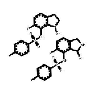 CC(=O)C1NCc2ccc(F)c(NS(=O)(=O)c3ccc(C)cc3)c21.CC(=O)N1CCc2ccc(F)c(NS(=O)(=O)c3ccc(C)cc3)c21